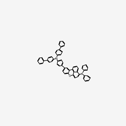 c1ccc(-c2ccc(N(c3ccc(-c4ccccc4)cc3)c3ccc(-c4ccc5c(c4)-c4cccc6c(N(c7ccccc7)c7ccccc7)ccc(c46)O5)cc3)cc2)cc1